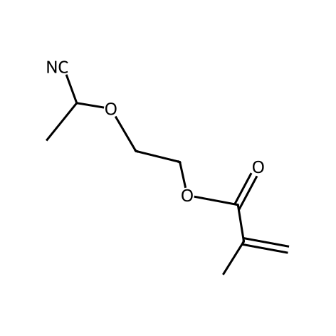 C=C(C)C(=O)OCCOC(C)C#N